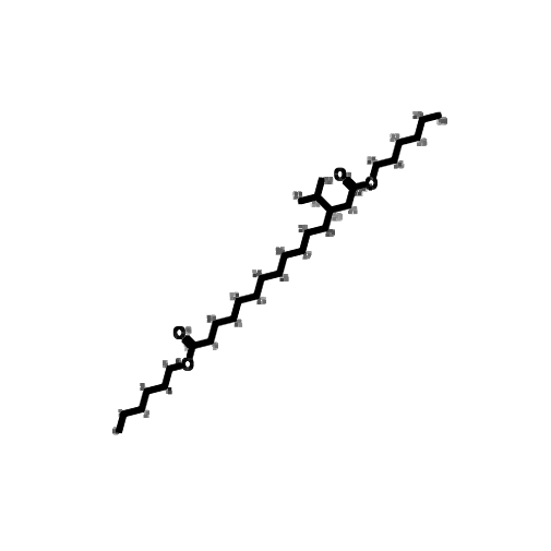 CCCCCCOC(=O)CCCCCCCCCCCC(CC(=O)OCCCCCC)C(C)C